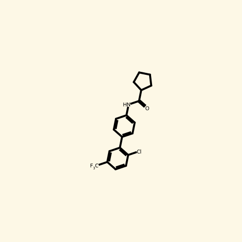 O=C(Nc1ccc(-c2cc(C(F)(F)F)ccc2Cl)cc1)C1CCCC1